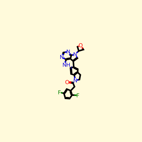 Nc1ncnc2c1c(-c1ccc3c(c1)CCN3C(=O)Cc1cc(F)ccc1F)cn2C1COC1